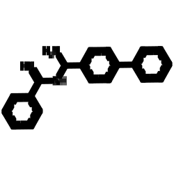 N=C(NC(N)c1ccc(-c2ccccc2)cc1)c1ccccc1